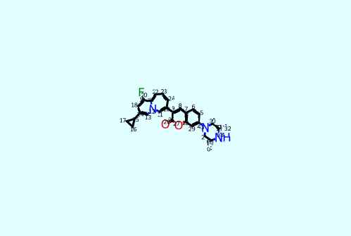 C[C@@H]1CN(c2ccc3cc(C4=CN5C=C(C6CC6)C=C(F)C5=CC=C4)c(=O)oc3c2)C[C@H](C)N1